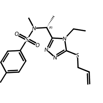 C=CCSc1nnc([C@@H](C)N(C)S(=O)(=O)c2ccc(Cl)cc2)n1CC